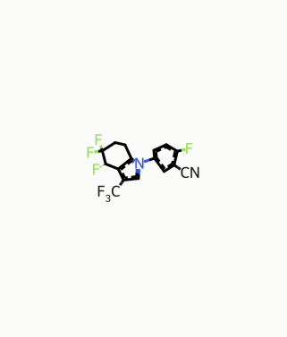 N#Cc1cc(-n2cc(C(F)(F)F)c3c2CCC(F)(F)[C@H]3F)ccc1F